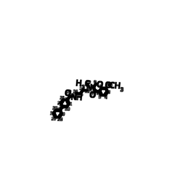 COc1cccc2c1OC[C@@H](N(C)CCCCNC(=O)c1ccc(-c3ccccc3)cc1)C2=O